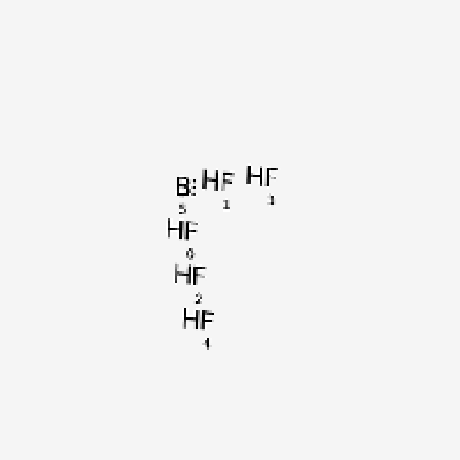 F.F.F.F.F.[B]